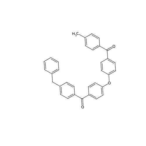 Cc1ccc(C(=O)c2ccc(Oc3ccc(C(=O)c4ccc(Cc5ccccc5)cc4)cc3)cc2)cc1